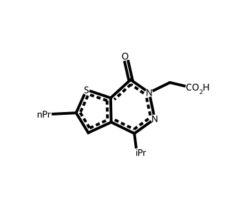 CCCc1cc2c(C(C)C)nn(CC(=O)O)c(=O)c2s1